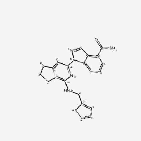 NC(=O)c1cccc2c1cnn2-c1nc(NCc2cccs2)c2c(n1)OCC2